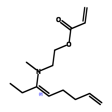 C=CCC/C=C(/CC)N(C)CCOC(=O)C=C